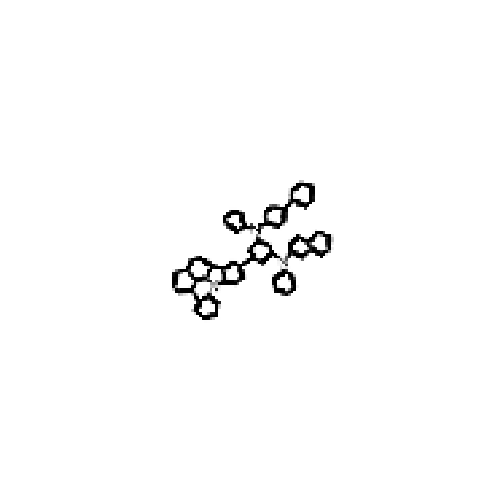 c1ccc(-c2ccc(N(c3ccccc3)c3cc(-c4ccc5c(c4)c4ccc6cccc7c8ccccc8n5c4c67)cc(N(c4ccccc4)c4ccc5ccccc5c4)c3)cc2)cc1